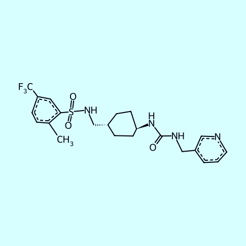 Cc1ccc(C(F)(F)F)cc1S(=O)(=O)NC[C@H]1CC[C@H](NC(=O)NCc2cccnc2)CC1